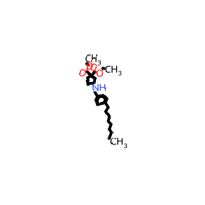 CCCCCCCCCc1ccc(CNC2CCC(C(=O)OCC)(C(=O)OCC)C2)cc1